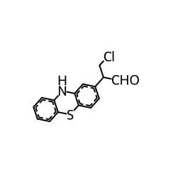 O=CC(CCl)c1ccc2c(c1)Nc1ccccc1S2